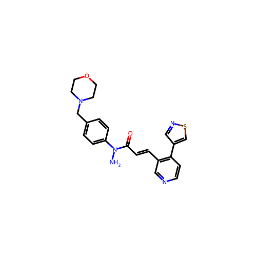 NN(C(=O)/C=C/c1cnccc1-c1cnsc1)c1ccc(CN2CCOCC2)cc1